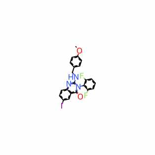 COc1ccc(CNc2nc3ccc(I)cc3c(=O)n2-c2c(F)cccc2F)cc1